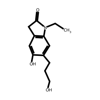 CCN1C(=O)Cc2cc(O)c(CCCO)cc21